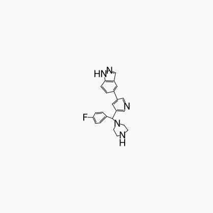 Fc1ccc(C(c2cncc(-c3ccc4[nH]ncc4c3)c2)N2CCNCC2)cc1